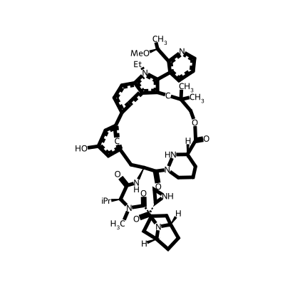 CCn1c(-c2cccnc2[C@H](C)OC)c2c3cc(ccc31)-c1cc(O)cc(c1)C[C@H](NC(=O)[C@H](C(C)C)N(C)C(=O)[C@H]1C[C@H]3CC[C@@H](C1)N3C(=O)[C@@H]1CN1)C(=O)N1CCC[C@H](N1)C(=O)OCC(C)(C)C2